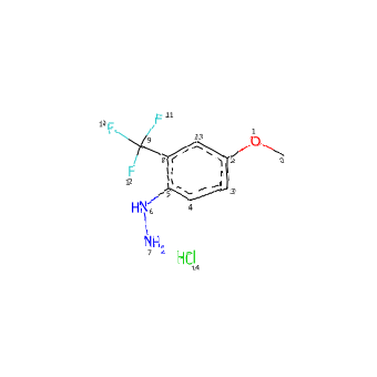 COc1ccc(NN)c(C(F)(F)F)c1.Cl